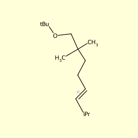 CC(C)/C=C/CCC(C)(C)COC(C)(C)C